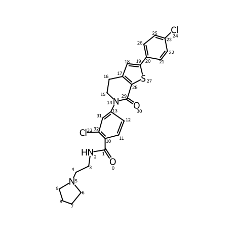 O=C(NCCN1CCCC1)c1ccc(N2CCc3cc(-c4ccc(Cl)cc4)sc3C2=O)cc1Cl